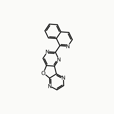 c1ccc2c(-c3ncc4oc5nccnc5c4n3)nccc2c1